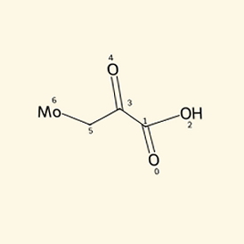 O=C(O)C(=O)[CH2][Mo]